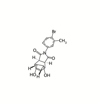 Cc1cc(N2C(=O)[C@@H]3C4C=CC([C@H](O)[C@@H]4O)[C@@H]3C2=O)ccc1Br